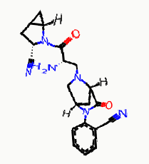 N#Cc1ccccc1N1C(=O)[C@@H]2C[C@H]1CN2C[C@H](N)C(=O)N1[C@H](C#N)CC2C[C@@H]21